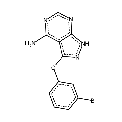 Nc1ncnc2[nH]nc(Oc3cccc(Br)c3)c12